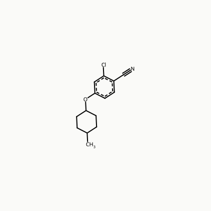 CC1CCC(Oc2ccc(C#N)c(Cl)c2)CC1